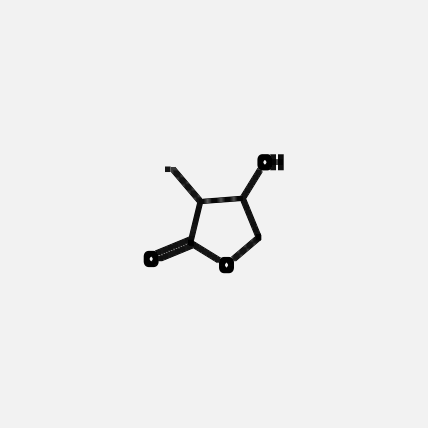 [CH2]C1C(=O)OCC1O